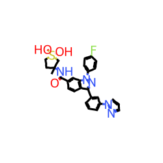 CC1(NC(=O)c2ccc3c(-c4cccc(-n5cccn5)c4)nn(-c4ccc(F)cc4)c3c2)CCS(O)(O)C1